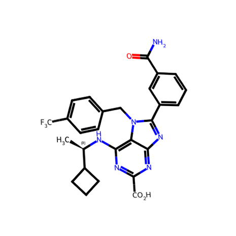 C[C@@H](Nc1nc(C(=O)O)nc2nc(-c3cccc(C(N)=O)c3)n(Cc3ccc(C(F)(F)F)cc3)c12)C1CCC1